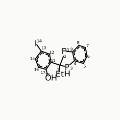 CCC(C)(Pc1ccccc1F)c1cc(I)ccc1O